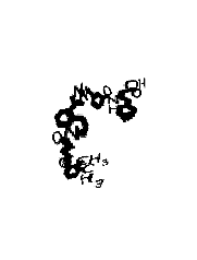 Cc1cccc(OCCCC(=O)N2CCCc3c(-c4cnn(Cc5cccc(C(=O)NC(CC(=O)O)Cc6ccccc6)c5)c4)cccc32)c1C